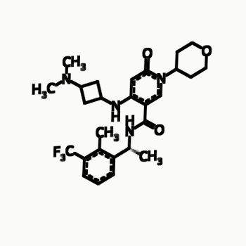 Cc1c([C@@H](C)NC(=O)c2cn(C3CCOCC3)c(=O)cc2NC2CC(N(C)C)C2)cccc1C(F)(F)F